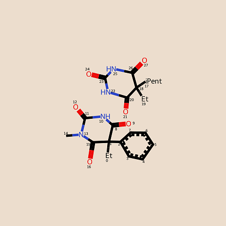 CCC1(c2ccccc2)C(=O)NC(=O)N(C)C1=O.CCCC(C)C1(CC)C(=O)NC(=O)NC1=O